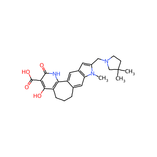 Cn1c(CN2CCC(C)(C)C2)cc2cc3c(cc21)CCCc1c-3[nH]c(=O)c(C(=O)O)c1O